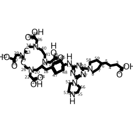 O=C(O)CCCC1CCN(c2nc(Nc3ccc(CC4CN(CC(=O)O)CCN(CC(=O)O)CCN(CC(=O)O)CCN4CC(=O)O)cc3)nc(N3CCNCC3)n2)CC1